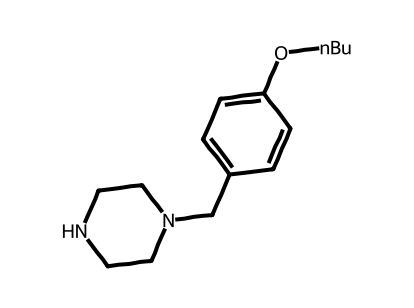 CCCCOc1ccc(CN2CCNCC2)cc1